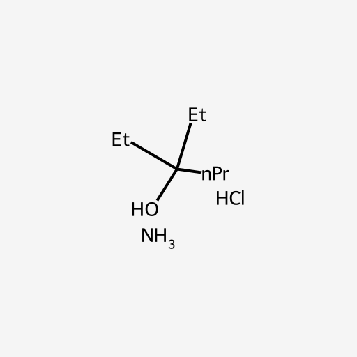 CCCC(O)(CC)CC.Cl.N